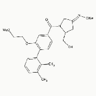 COCCOc1cc(C(=O)N2C/C(=N/OC)CC2CO)ccc1-c1cccc(C)c1C